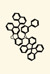 c1ccc(-c2cccc(N(c3cccc4c3-c3ccccc3C43c4ccccc4-c4ccccc43)c3cccc4oc5c6ccccc6c(-c6cccc7ccccc67)cc5c34)c2)cc1